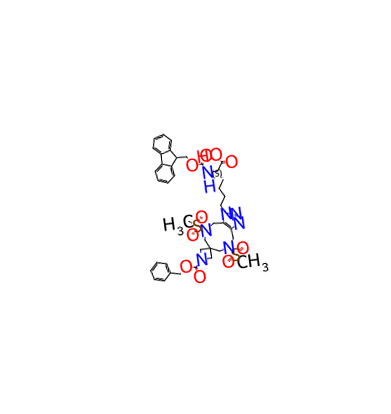 CS(=O)(=O)N1Cc2nnn(CCCC[C@H](NC(=O)OCC3c4ccccc4-c4ccccc43)C(=O)O)c2CN(S(C)(=O)=O)CC2(CN(C(=O)OCc3ccccc3)C2)C1